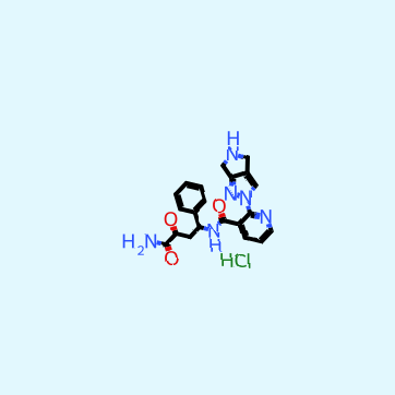 Cl.NC(=O)C(=O)CC(NC(=O)c1cccnc1-n1cc2c(n1)CNC2)c1ccccc1